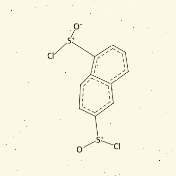 [O-][S+](Cl)c1ccc2c([S+]([O-])Cl)cccc2c1